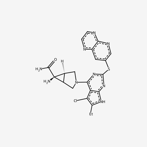 CCc1[nH]c2nc(Sc3cnc4nccnc4c3)nc(N3CC4[C@H](C3)[C@@]4(N)C(N)=O)c2c1Cl